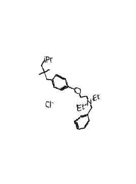 CC[N+](CC)(CCOc1ccc(CC(C)(C)CC(C)C)cc1)Cc1ccccc1.[Cl-]